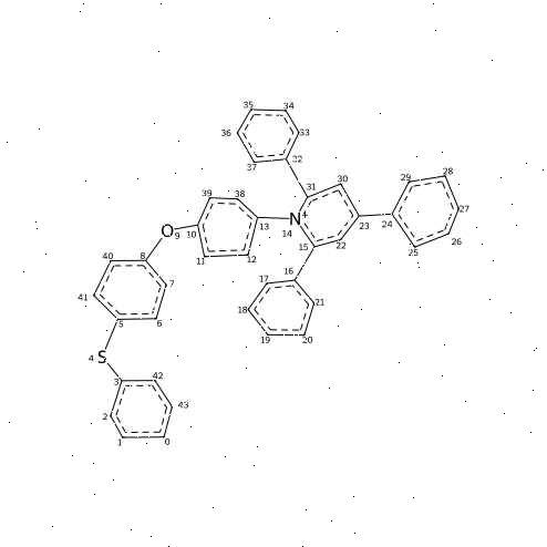 c1ccc(Sc2ccc(Oc3ccc(-[n+]4c(-c5ccccc5)cc(-c5ccccc5)cc4-c4ccccc4)cc3)cc2)cc1